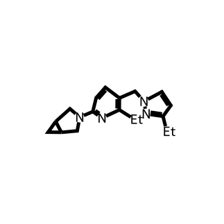 CCc1ccn(Cc2ccc(N3CC4CC4C3)nc2CC)n1